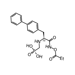 CCC(=O)ONC(=O)[C@H](Cc1ccc(-c2ccccc2)cc1)NCP(=O)(O)O